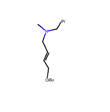 CC(C)COC/C=C/CN(C)CC(C)C